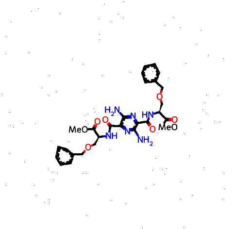 COC(=O)[C@H](COCc1ccccc1)NC(=O)c1nc(N)c(C(=O)N[C@@H](COCc2ccccc2)C(=O)OC)nc1N